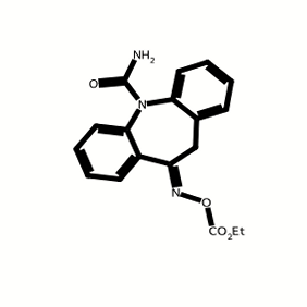 CCOC(=O)ON=C1Cc2ccccc2N(C(N)=O)c2ccccc21